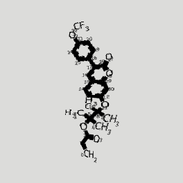 C=CC(=O)OC(C)(C)C(C)(C)Oc1ccc2cc(-c3ccc(OC(F)(F)F)cc3)c(=O)oc2c1